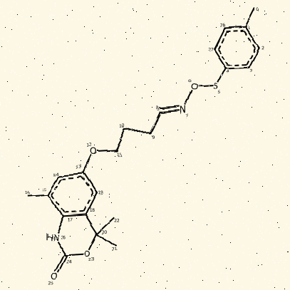 Cc1ccc(SON=CCCCOc2cc(C)c3c(c2)C(C)(C)OC(=O)N3)cc1